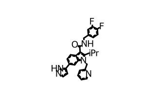 CC(C)c1c(C(=O)NCc2ccc(F)c(F)c2)c2ccc(-c3ccn[nH]3)cc2n1Cc1ccccn1